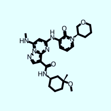 CNc1cc(Nc2cccn([C@@H]3CCCOC3)c2=O)nc2c(C(=O)N[C@@H]3CCC[C@@](C)(OC)C3)cnn12